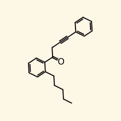 CCCCCc1ccccc1C(=O)CC#Cc1ccccc1